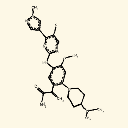 C=C(C(N)=O)c1cc(Nc2ncc(F)c(-c3cnn(C)c3)n2)c(OC)cc1N1CCC(N(C)C)CC1